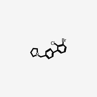 Clc1c(Br)cccc1-c1ccc(CN2CCCC2)cc1